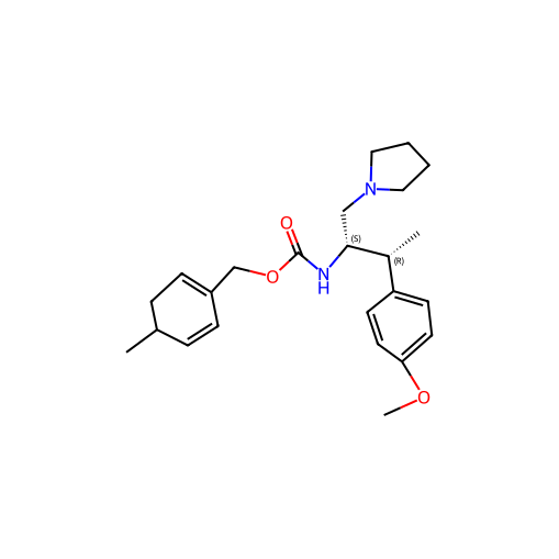 COc1ccc([C@@H](C)[C@@H](CN2CCCC2)NC(=O)OCC2=CCC(C)C=C2)cc1